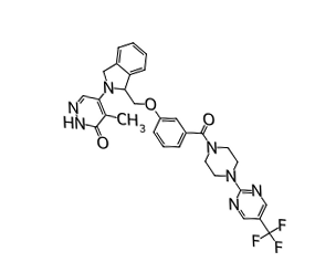 Cc1c(N2Cc3ccccc3C2COc2cccc(C(=O)N3CCN(c4ncc(C(F)(F)F)cn4)CC3)c2)cn[nH]c1=O